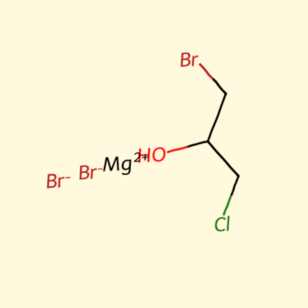 OC(CCl)CBr.[Br-].[Br-].[Mg+2]